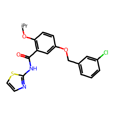 CC(C)Oc1ccc(OCc2cccc(Cl)c2)cc1C(=O)Nc1nccs1